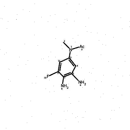 CC(=O)N(C)c1cc(N)c(N)c(F)c1